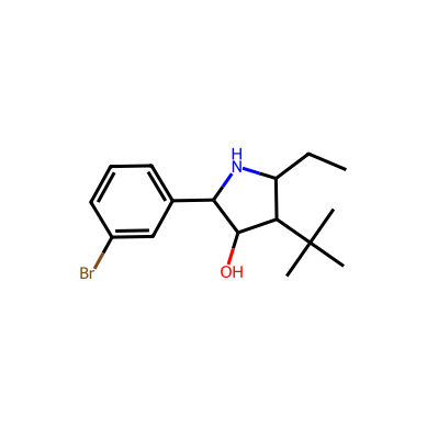 CCC1NC(c2cccc(Br)c2)C(O)C1C(C)(C)C